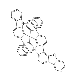 c1ccc(-n2c3ccccc3c3ccc4c(c32)C2(c3ccccc3-4)c3ccccc3-c3ccc4c5c6oc7ccccc7c6ccc5n(-c5ccccc5)c4c32)cc1